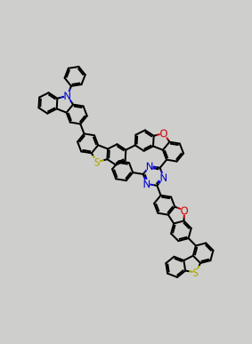 c1ccc(-c2nc(-c3ccc4c(c3)oc3cc(-c5cccc6sc7ccccc7c56)ccc34)nc(-c3cccc4oc5ccc(-c6ccc7sc8ccc(-c9ccc%10c(c9)c9ccccc9n%10-c9ccccc9)cc8c7c6)cc5c34)n2)cc1